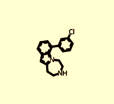 Clc1cccc(-c2cccc3cc4n(c23)CCNCC4)c1